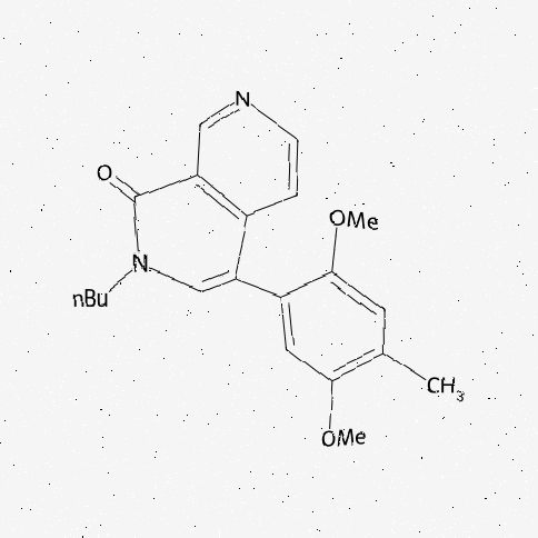 CCCCn1cc(-c2cc(OC)c(C)cc2OC)c2ccncc2c1=O